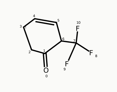 O=C1C[C]C=CC1C(F)(F)F